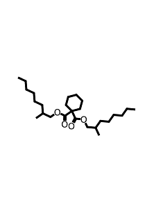 CCCCCCC(C)COC(=O)C1(C(=O)OCC(C)CCCCCC)CCCCC1